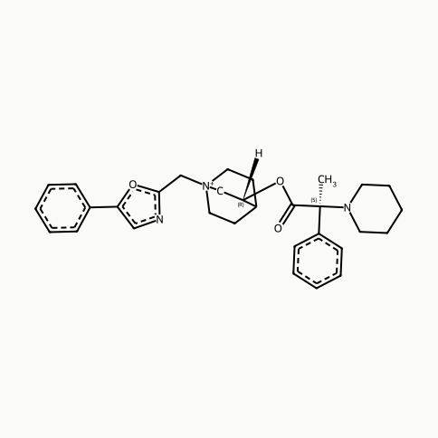 C[C@@](C(=O)O[C@H]1C[N+]2(Cc3ncc(-c4ccccc4)o3)CCC1CC2)(c1ccccc1)N1CCCCC1